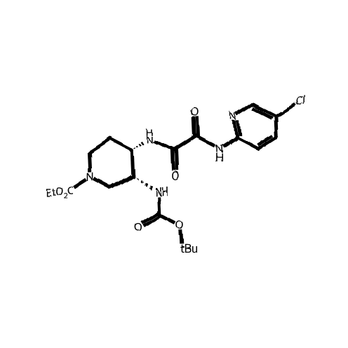 CCOC(=O)N1CC[C@H](NC(=O)C(=O)Nc2ccc(Cl)cn2)[C@H](NC(=O)OC(C)(C)C)C1